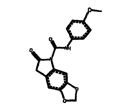 COc1ccc(NC(=O)N2C(=O)Cc3cc4c(cc32)OCO4)cc1